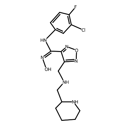 O/N=C(/Nc1ccc(F)c(Cl)c1)c1nonc1CNCC1CCCCN1